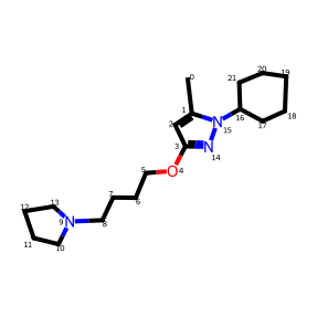 Cc1cc(OCCCCN2CCCC2)nn1C1CCCCC1